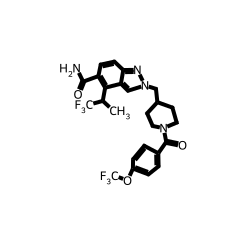 CC(c1c(C(N)=O)ccc2nn(CC3CCN(C(=O)c4ccc(OC(F)(F)F)cc4)CC3)cc12)C(F)(F)F